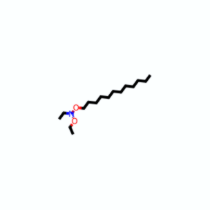 CCCCCCCCCCCCON(CC)OCC